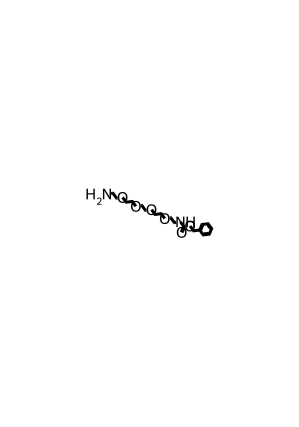 NCCOCCOCCOCCOCCNC(=O)OCc1ccccc1